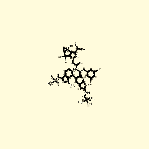 Cn1nc(NS(C)(=O)=O)c2cccc(-c3cc4sc(NCC(C)(C)O)nc4nc3[C@H](Cc3cc(F)cc(F)c3)NC(=O)Cn3nc(C(F)F)c4c3C(F)(F)C3C[C@H]43)c21